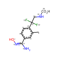 Cc1cc(/C(N)=N\O)ccc1C(F)(F)CNC(=O)O